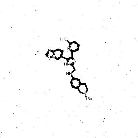 Cc1cccc(-c2nc(CNc3ccc4c(c3)CCN(C(C)(C)C)C4)[nH]c2-c2ccc3ncnn3c2)n1